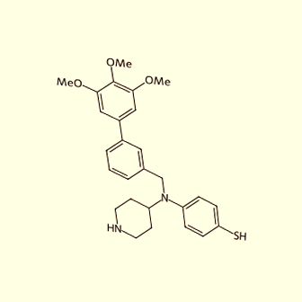 COc1cc(-c2cccc(CN(c3ccc(S)cc3)C3CCNCC3)c2)cc(OC)c1OC